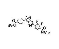 CNC(=O)c1ccc(-c2cc3nnn(C4CCN(C(=O)OC(C)C)CC4)c3cn2)c(F)c1F